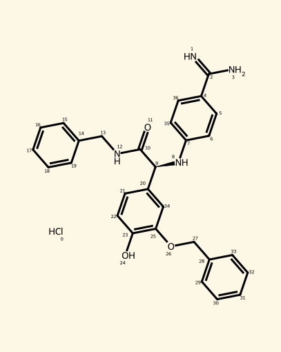 Cl.N=C(N)c1ccc(N[C@H](C(=O)NCc2ccccc2)c2ccc(O)c(OCc3ccccc3)c2)cc1